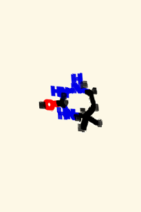 CC1(C)CCNNC(=O)N1